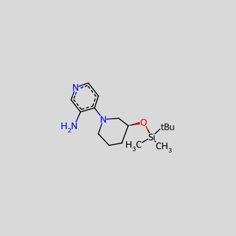 CC(C)(C)[Si](C)(C)O[C@H]1CCCN(c2ccncc2N)C1